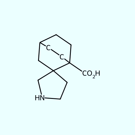 O=C(O)C12CCC(CC1)CC21CCNC1